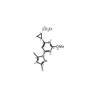 CCOC(=O)[C@H]1C[C@@H]1c1cc(-n2nc(C)nc2C)nc(OC)n1